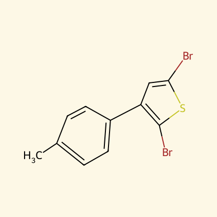 Cc1ccc(-c2cc(Br)sc2Br)cc1